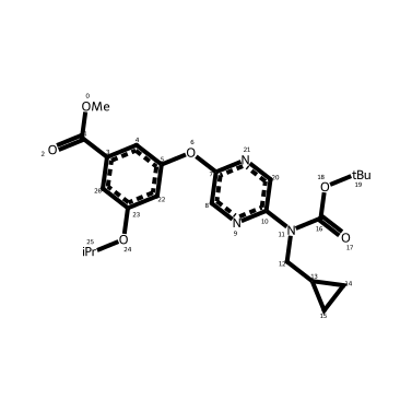 COC(=O)c1cc(Oc2cnc(N(CC3CC3)C(=O)OC(C)(C)C)cn2)cc(OC(C)C)c1